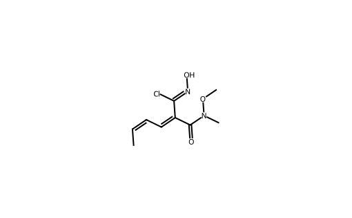 C\C=C/C=C(C(=O)N(C)OC)\C(Cl)=N\O